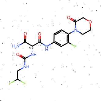 NC(=O)[C@@H](NC(=O)NCC(F)F)C(=O)Nc1ccc(N2CCOCC2=O)c(F)c1